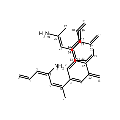 C=C\C=C(N)/C=C(C)\C(=C\C(=C)C(/C=C\C(=C)C=C)=C/C)\C=C(C)\C(\C=C(/C)N)=C\C=C